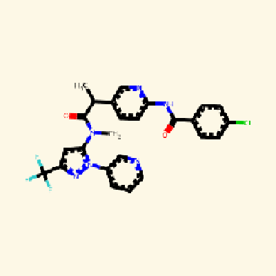 CC(C(=O)N(C)c1cc(C(F)(F)F)nn1-c1cccnc1)c1ccc(NC(=O)c2ccc(Cl)cc2)nc1